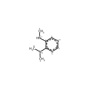 CNc1cncnc1N(C)C